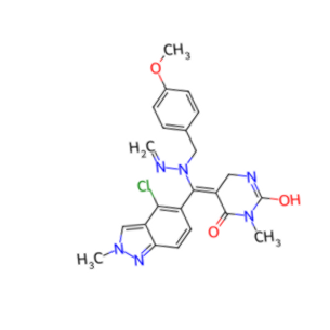 C=NN(Cc1ccc(OC)cc1)/C(=C1\CN=C(O)N(C)C1=O)c1ccc2nn(C)cc2c1Cl